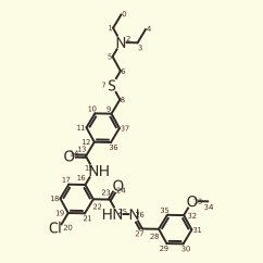 CCN(CC)CCSCc1ccc(C(=O)Nc2ccc(Cl)cc2C(=O)NN=Cc2cccc(OC)c2)cc1